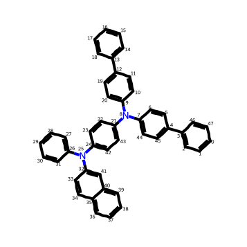 c1ccc(-c2ccc(N(c3ccc(-c4ccccc4)cc3)c3ccc(N(c4ccccc4)c4ccc5ccccc5c4)cc3)cc2)cc1